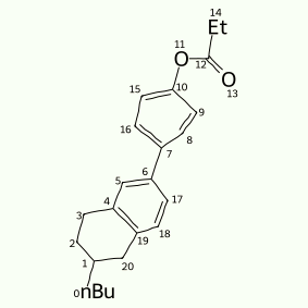 CCCCC1CCc2cc(-c3ccc(OC(=O)CC)cc3)ccc2C1